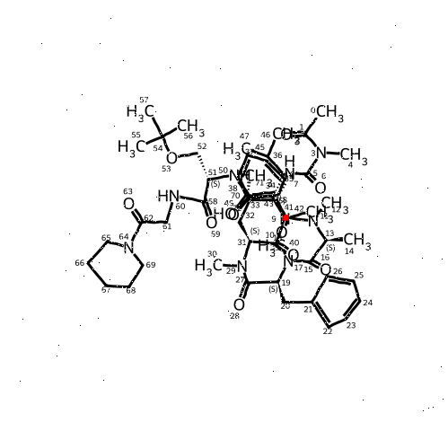 CC(=O)N(C)C(=O)N[C@H](C(=O)N(C)[C@@H](C)C(=O)N(C)[C@@H](Cc1ccccc1)C(=O)N(C)[C@@H](Cc1ccccc1)C(=O)N(C)[C@@H](CC(C)C)C(=O)N[C@@H](COC(C)(C)C)C(=O)NCC(=O)N1CCCCC1)[C@@H](C)O